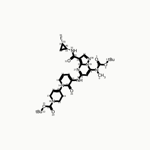 CN(C(=O)OC(C)(C)C)c1cc(Nc2cccn(C3=CCN(C(=O)OC(C)(C)C)CC3)c2=O)nc2c(C(=O)N[C@@H]3C[C@@H]3F)cnn12